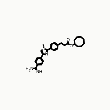 Cn1cc(-c2ccc(C(=N)N)cc2)nc1-c1ccc(CCC(=O)OC2CCCCCCC2)cc1